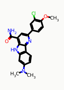 COc1ccc(-c2cc(C(N)=O)c3[nH]c4cc(N(C)C)ccc4c3n2)cc1Cl